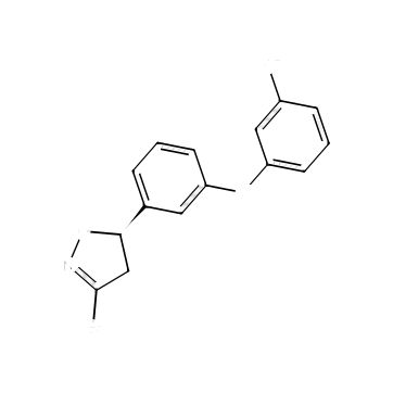 FC(F)(F)c1cccc(Oc2cccc([C@H]3CC(Br)=NO3)c2)c1